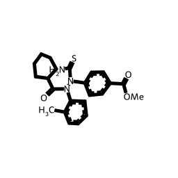 COC(=O)c1ccc(N(C(N)=S)N(C(=O)C2CCCCC2)c2ccccc2C)cc1